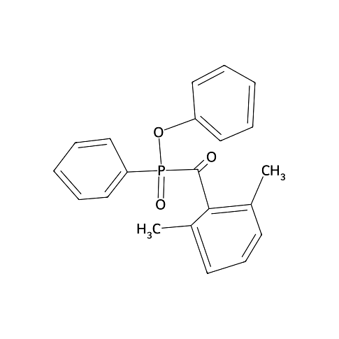 Cc1cccc(C)c1C(=O)P(=O)(Oc1ccccc1)c1ccccc1